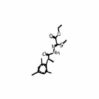 CCOC(=O)C(=NNC(=O)C(C)c1c(C)cc(C)cc1C)SC